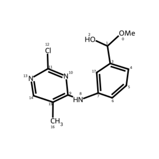 COC(O)c1cccc(Nc2nc(Cl)ncc2C)c1